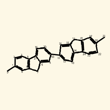 Cc1ccc2c(c1)Cc1cc(-c3ccc4c(c3)Cc3cc(C)ccc3-4)ccc1-2